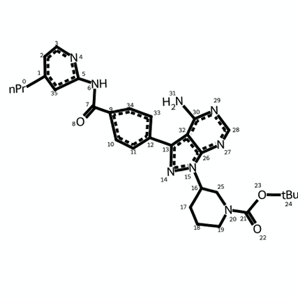 CCCc1ccnc(NC(=O)c2ccc(-c3nn(C4CCCN(C(=O)OC(C)(C)C)C4)c4ncnc(N)c34)cc2)c1